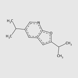 CC(C)c1cnc2oc(C(C)C)cc2c1